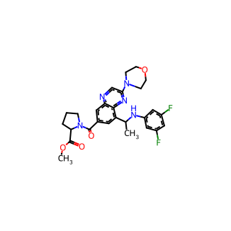 COC(=O)C1CCCN1C(=O)c1cc(C(C)Nc2cc(F)cc(F)c2)c2nc(N3CCOCC3)cnc2c1